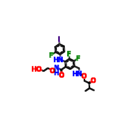 CC(C)C(=O)CONCc1cc(C(=O)NOCCO)c(Nc2ccc(I)cc2F)c(F)c1F